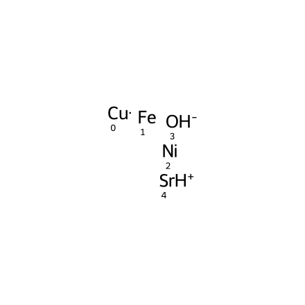 [Cu].[Fe].[Ni].[OH-].[SrH+]